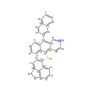 c1ccc2cc(-c3c4ccccc4c(Sc4ccc5c6c(cccc46)CC5)c4ccncc34)ccc2c1